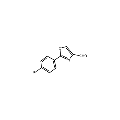 O=Cc1coc(-c2ccc(Br)cc2)n1